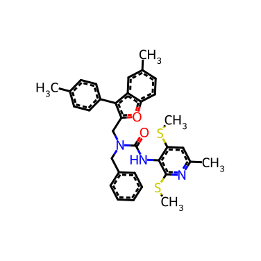 CSc1cc(C)nc(SC)c1NC(=O)N(Cc1ccccc1)Cc1oc2ccc(C)cc2c1-c1ccc(C)cc1